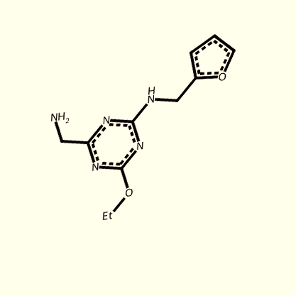 CCOc1nc(CN)nc(NCc2ccco2)n1